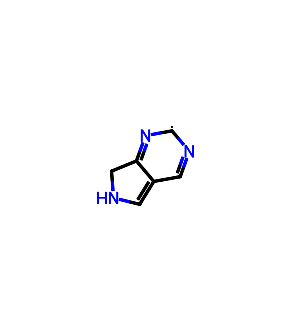 [CH]1N=CC2=CNCC2=N1